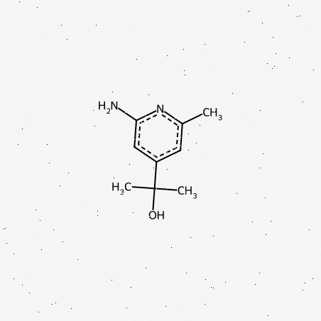 Cc1cc(C(C)(C)O)cc(N)n1